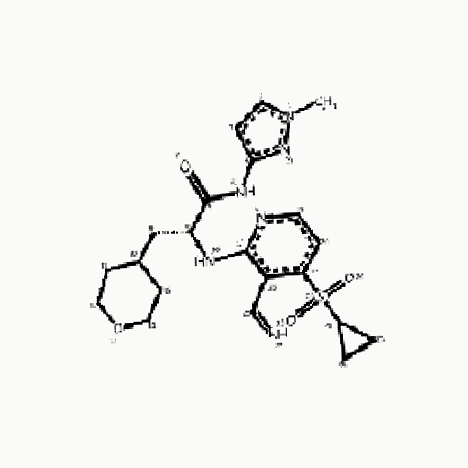 Cn1ccc(NC(=O)[C@@H](CC2CCOCC2)Nc2nccc(S(=O)(=O)C3CC3)c2C=N)n1